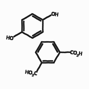 O=C(O)c1cccc(C(=O)O)c1.Oc1ccc(O)cc1